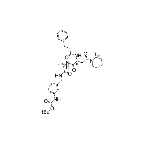 C[C@H](NC(=O)[C@H](CC(=O)N1CCCC[C@@H]1C)NC(=O)CCc1ccccc1)C(=O)NCc1cccc(NC(=O)OC(C)(C)C)c1